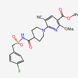 COc1nc(N2CCC(C(=O)NS(=O)(=O)Cc3ccc(F)cc3)CC2)c(C#N)cc1C(=O)OC(C)C